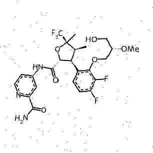 CO[C@@H](CO)COc1c([C@H]2[C@H](C(=O)Nc3ccnc(C(N)=O)c3)O[C@@](C)(C(F)(F)F)[C@H]2C)ccc(F)c1F